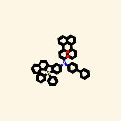 c1ccc(-c2ccc(N(c3ccc(-c4cccc5cccc(-c6ccccc6)c45)cc3)c3ccc4c(c3)-c3ccc5ccccc5c3[Si]4(c3ccccc3)c3ccccc3)cc2)cc1